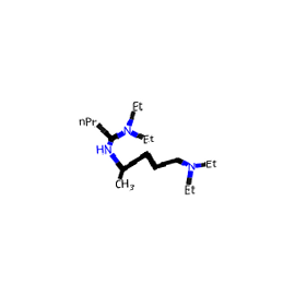 CCCC(NC(C)CCCN(CC)CC)N(CC)CC